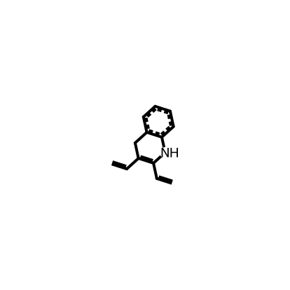 C=CC1=C(C=C)Nc2ccccc2C1